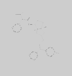 CC(C)C(C(=O)N[C@H]1CC[C@@H]2CN(CCC(c3ccc(F)cc3)c3ccc(F)cc3)C[C@@H]21)c1ccccc1